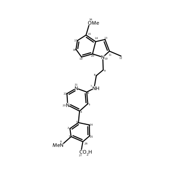 CNc1cc(-c2cc(NCCn3c(C)cc4c(OC)cccc43)ncn2)ccc1C(=O)O